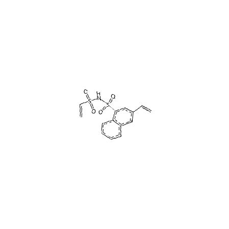 C=Cc1cc(S(=O)(=O)NS(=O)(=O)C=C)c2ccccc2c1